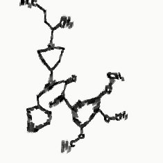 CCCC(C)N1CCC(N(Cc2ccccc2)C(=O)Nc2cc(OC)c(OC)c(OC)c2)CC1